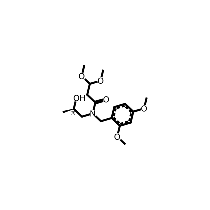 COc1ccc(CN(C[C@@H](C)O)C(=O)CC(OC)OC)c(OC)c1